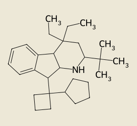 CCC1(CC)CC(C(C)(C)C)NC2C1c1ccccc1C2C1(C2CCCC2)CCC1